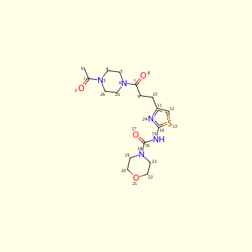 CC(=O)N1CCN(C(=O)CCc2csc(NC(=O)N3CCOCC3)n2)CC1